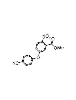 COC(=O)c1cc(Oc2ccc(C#N)cc2)ccc1[N+](=O)[O-]